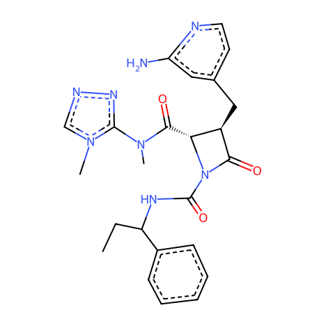 CCC(NC(=O)N1C(=O)[C@H](Cc2ccnc(N)c2)[C@H]1C(=O)N(C)c1nncn1C)c1ccccc1